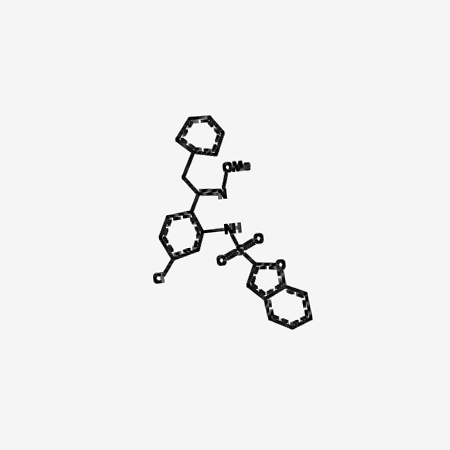 CON=C(Cc1ccccc1)c1ccc(Cl)cc1NS(=O)(=O)c1cc2ccccc2o1